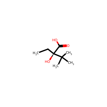 CC[C@](O)(C(=O)O)C(C)(C)C